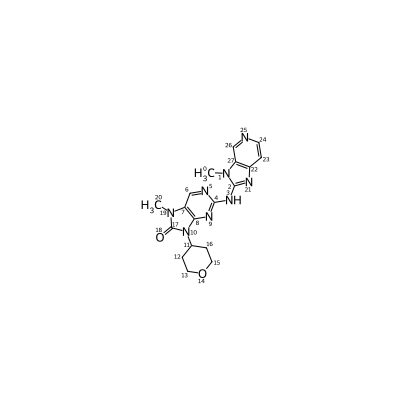 Cn1c(Nc2ncc3c(n2)n(C2CCOCC2)c(=O)n3C)nc2ccncc21